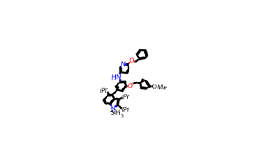 COc1ccc(COc2cc(Nc3ccc(OCc4ccccc4)nc3)cc(-c3c(C(C)C)ccc4c3c(C(C)C)c(C(C)C)n4[SiH3])c2)cc1